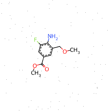 COCc1cc(C(=O)OC)cc(F)c1N